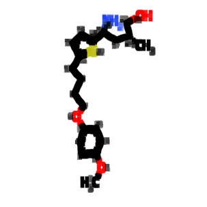 COc1ccc(OCCCCc2ccc(C(N)C[C@@H](C)CO)s2)cc1